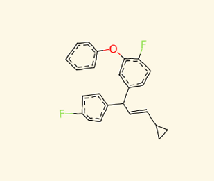 Fc1ccc(C(C=CC2CC2)c2ccc(F)c(Oc3ccccc3)c2)cc1